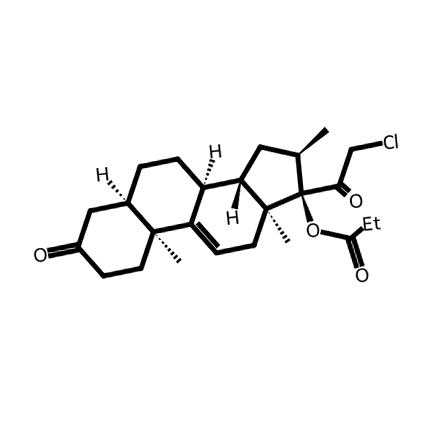 CCC(=O)O[C@]1(C(=O)CCl)[C@H](C)C[C@H]2[C@@H]3CC[C@@H]4CC(=O)CC[C@]4(C)C3=CC[C@@]21C